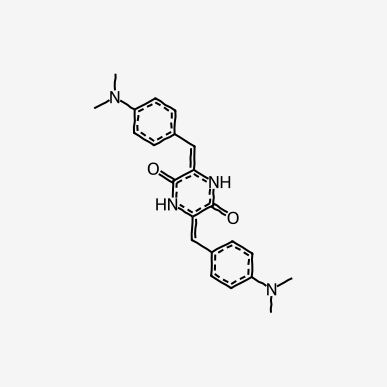 CN(C)c1ccc(/C=c2/[nH]c(=O)/c(=C\c3ccc(N(C)C)cc3)[nH]c2=O)cc1